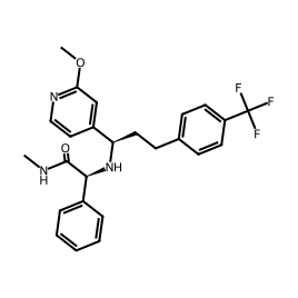 CNC(=O)[C@@H](N[C@H](CCc1ccc(C(F)(F)F)cc1)c1ccnc(OC)c1)c1ccccc1